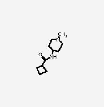 CN1CCC(NC(=O)C2CCC2)CC1